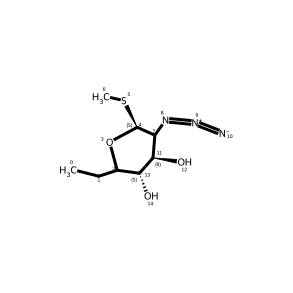 CCC1O[C@@H](SC)C(N=[N+]=[N-])[C@@H](O)[C@@H]1O